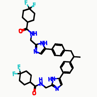 CC(Cc1ccc(-c2cnc(CNC(=O)C3CCC(F)(F)CC3)[nH]2)cc1)c1ccc(-c2cnc(CNC(=O)C3CCC(F)(F)CC3)[nH]2)cc1